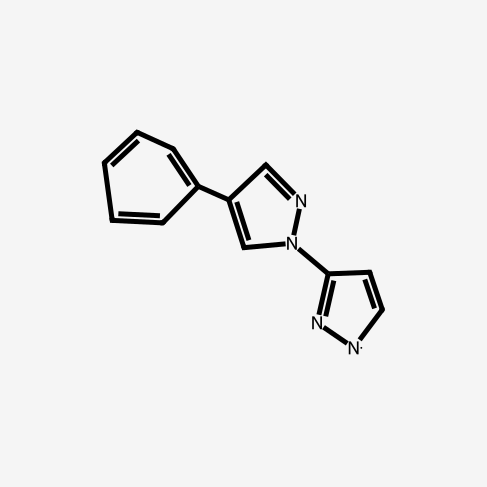 C1=CC(n2cc(-c3ccccc3)cn2)=N[N]1